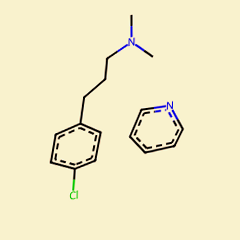 CN(C)CCCc1ccc(Cl)cc1.c1ccncc1